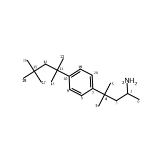 CC(N)CC(C)(C)c1ccc(C(C)(C)CC(C)(C)C)cc1